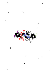 C[C@@H]1CN(Cc2ccc(F)cc2)[C@@H](C)CN1C(=O)COc1c(I)cc(I)cc1C(=O)O